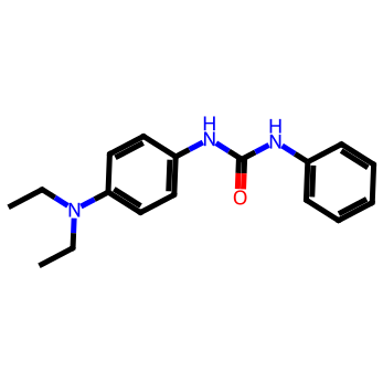 CCN(CC)c1ccc(NC(=O)Nc2ccccc2)cc1